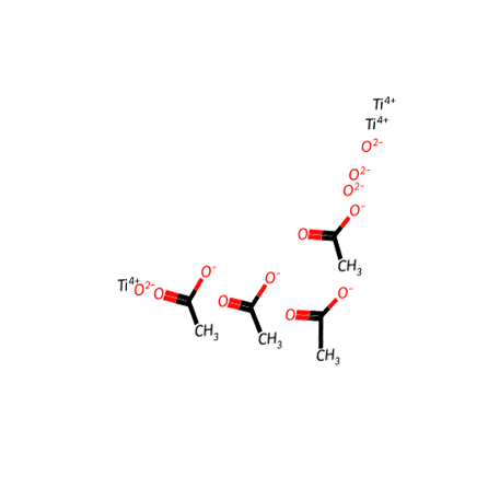 CC(=O)[O-].CC(=O)[O-].CC(=O)[O-].CC(=O)[O-].[O-2].[O-2].[O-2].[O-2].[Ti+4].[Ti+4].[Ti+4]